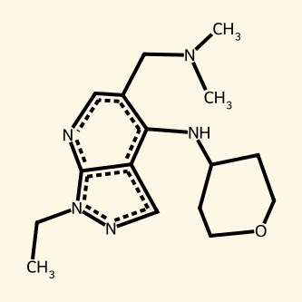 CCn1ncc2c(NC3CCOCC3)c(CN(C)C)cnc21